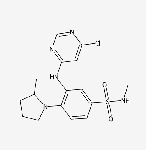 CNS(=O)(=O)c1ccc(N2CCCC2C)c(Nc2cc(Cl)ncn2)c1